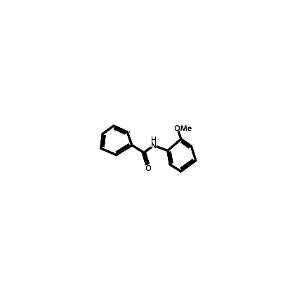 COc1ccccc1NC(=O)c1[c]cccc1